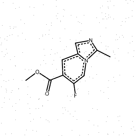 COC(=O)c1cc2cnc(C)n2cc1F